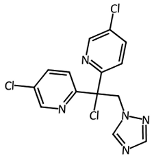 Clc1ccc(C(Cl)(Cn2cncn2)c2ccc(Cl)cn2)nc1